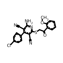 COc1ccccc1C(=O)CSc1nc(N)c(C#N)c(-c2ccc(Cl)cc2)c1C#N